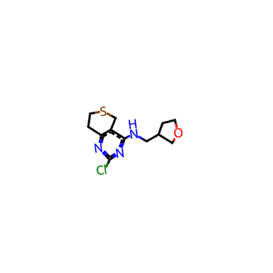 Clc1nc2c(c(NCC3CCOC3)n1)CSCC2